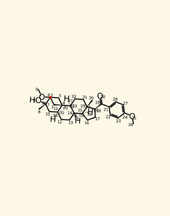 COCC[C@]12CC[C@@](C)(O)C[C@@H]1CC[C@H]1[C@@H]3CC[C@H](C(=O)c4ccc(OC)cc4)[C@@]3(C)CC[C@@H]12